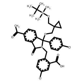 CC(=O)c1ccc2c(c1)C(=O)N(Cc1ccc(Cl)cc1C(=O)O)C2(OCC1(CO[Si](C)(C)C(C)(C)C)CC1)c1ccc(Cl)cc1